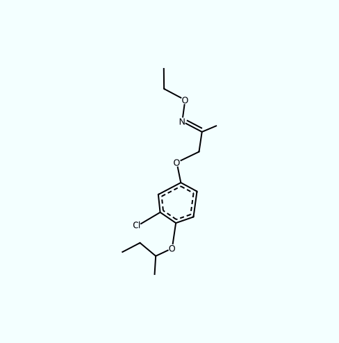 CCON=C(C)COc1ccc(OC(C)CC)c(Cl)c1